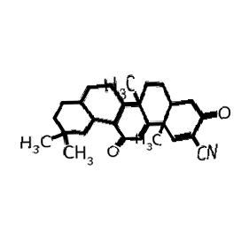 CC1(C)CCC2CCC3C(C(=O)C=C4C5(C)C=C(C#N)C(=O)CC5CCC43C)C2C1